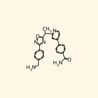 CC(c1cc(-c2ccc(C(N)=O)cc2)ccn1)c1nc(-c2ccc(CN)cc2)no1